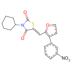 O=C1S/C(=C\c2occc2-c2cccc([N+](=O)[O-])c2)C(=O)N1C1CCCCC1